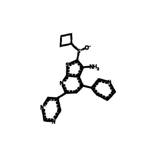 Nc1c([S+]([O-])C2CCC2)sc2nc(-c3cncnc3)cc(-c3cccnc3)c12